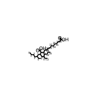 CCCCC(CC)CC(CC(CC)CCCC)C(CCCCCCCCCCCC(=O)O)C(=O)O